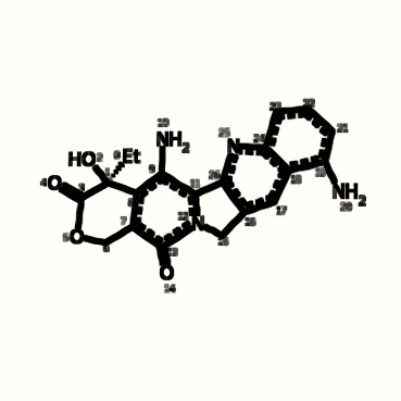 CC[C@@]1(O)C(=O)OCc2c1c(N)c1n(c2=O)Cc2cc3c(N)cccc3nc2-1